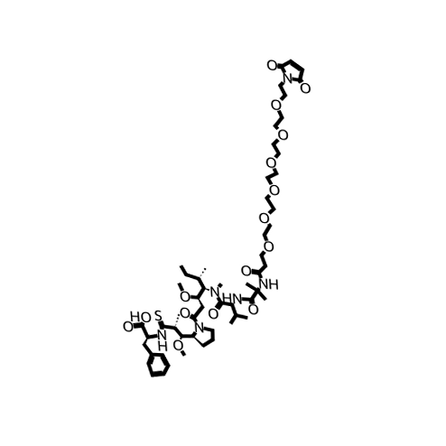 CC[C@H](C)[C@@H]([C@@H](CC(=O)N1CCC[C@H]1[C@H](OC)[C@@H](C)C(=S)N[C@@H](Cc1ccccc1)C(=O)O)OC)N(C)C(=O)[C@@H](NC(=O)C(C)(C)NC(=O)CCOCCOCCOCCOCCOCCOCCN1C(=O)C=CC1=O)C(C)C